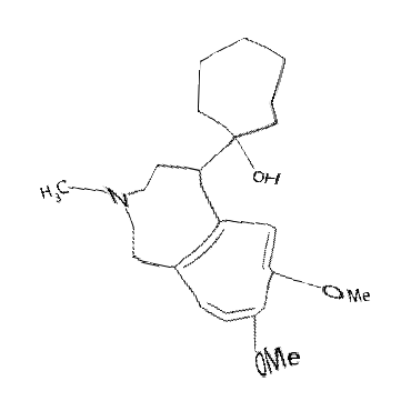 COc1cc2c(cc1OC)C(C1(O)CCCCC1)CN(C)C2